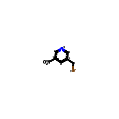 O=[N+]([O-])c1cncc(CBr)c1